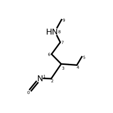 C=NCC(CC)CCNC